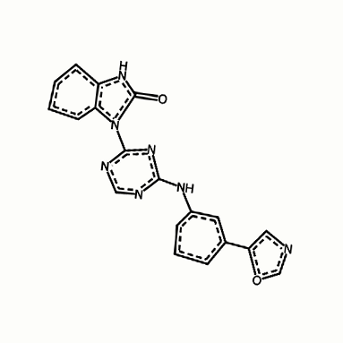 O=c1[nH]c2ccccc2n1-c1ncnc(Nc2cccc(-c3cnco3)c2)n1